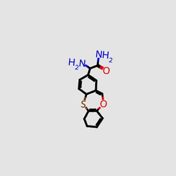 NC(=O)C(N)C1=CC2=COC3=C(CCC=C3)SC2C=C1